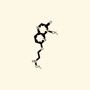 CNCCOc1ccc2ncc(=O)n(C)c2n1